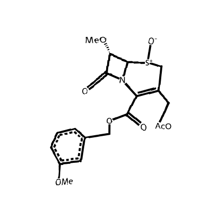 COc1cccc(COC(=O)C2=C(COC(C)=O)C[S+]([O-])C3[C@@H](OC)C(=O)N23)c1